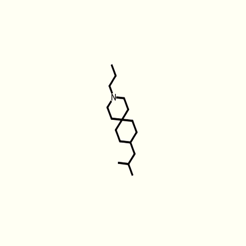 CCCN1CCC2(CCC(CC(C)C)CC2)CC1